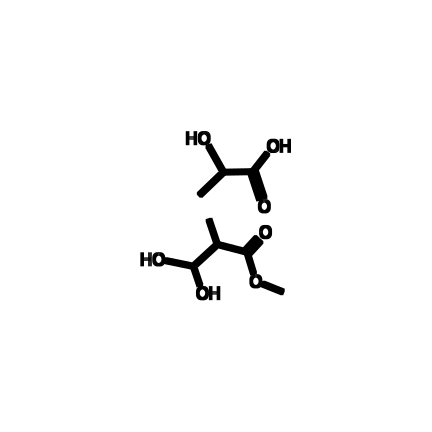 CC(O)C(=O)O.COC(=O)C(C)C(O)O